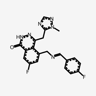 Cn1ncnc1Cc1n[nH]c(=O)c2cc(F)cc(CN=Cc3ccc(F)cc3)c12